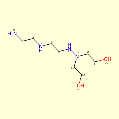 NCCNCCNN(CCO)CCO